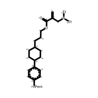 C=C(CN(CC)CC)C(=O)OCCCC1CCC(c2ccc(CCCCC)cc2)CC1